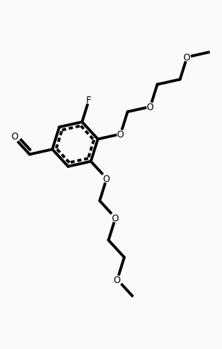 COCCOCOc1cc(C=O)cc(F)c1OCOCCOC